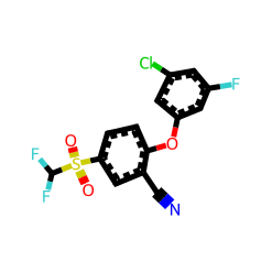 N#Cc1cc(S(=O)(=O)C(F)F)ccc1Oc1cc(F)cc(Cl)c1